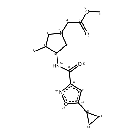 COC(=O)CN1CC(C)C(NC(=O)c2cc(C3CC3)on2)C1